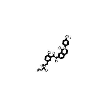 CC(C)(C)C(=O)NCc1ccc(Cl)c(C(=O)Nc2ccc3ccn(-c4ccc(C(F)(F)F)cc4)c(=O)c3c2)c1